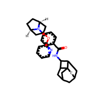 O=C(NC1C2CC3CC4CC1C2(C3)C4)c1ccc(N2[C@@H]3CC[C@H]2CC(Oc2ccccn2)C3)cc1